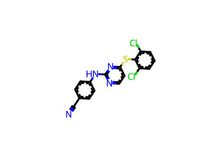 N#Cc1ccc(Nc2nccc(Sc3c(Cl)cccc3Cl)n2)cc1